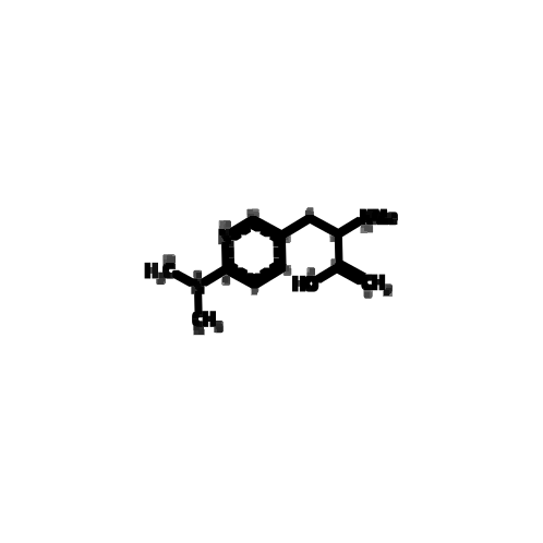 C=C(O)C(Cc1ccc(N(C)C)nc1)NC